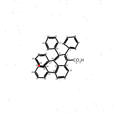 O=C(O)c1c(-c2ccccc2)c(-c2ccccc2)c(-c2ccccc2)c2c(-c3ccccc3)cccc12